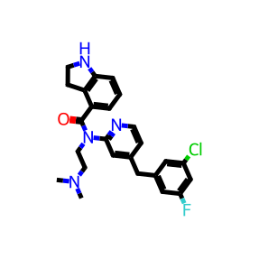 CN(C)CCN(C(=O)c1cccc2c1CCN2)c1cc(Cc2cc(F)cc(Cl)c2)ccn1